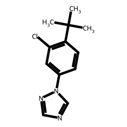 CC(C)(C)c1ccc(-n2cncn2)cc1Cl